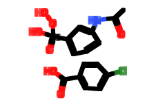 CC(=O)Nc1cccc([As](=O)(O)OO)c1.O=C(O)c1ccc(Cl)cc1